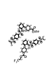 CN(C)S(=O)(=O)c1ccc(S(=O)(=O)Nc2ccccc2N2CCN(C(=O)OCC(F)(F)F)CC2)cc1.COC(=O)N1CCN(c2ccccc2NS(=O)(=O)c2ccc(S(=O)(=O)N(C)C)cc2)CC1